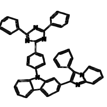 c1ccc(-c2nc(-c3ccccc3)nc(-c3ccc(-n4c5ccccc5c5ccc(-c6nc7ccccn7c6-c6ccccc6)cc54)cc3)n2)cc1